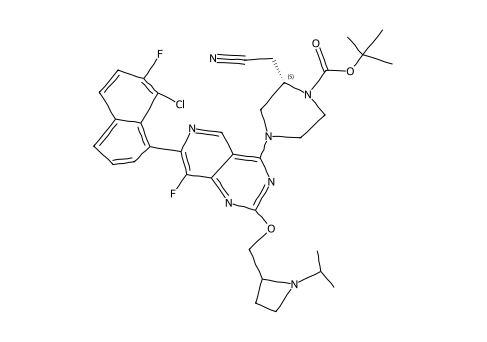 CC(C)N1CCC1COc1nc(N2CCN(C(=O)OC(C)(C)C)[C@@H](CC#N)C2)c2cnc(-c3cccc4ccc(F)c(Cl)c34)c(F)c2n1